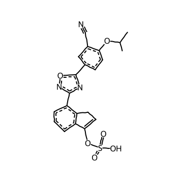 CC(C)Oc1ccc(-c2nc(-c3cccc4c3CC=C4OS(=O)(=O)O)no2)cc1C#N